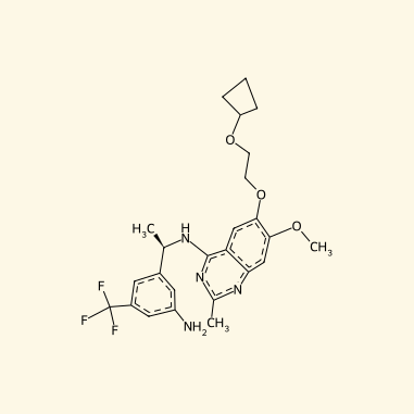 COc1cc2nc(C)nc(N[C@H](C)c3cc(N)cc(C(F)(F)F)c3)c2cc1OCCOC1CCC1